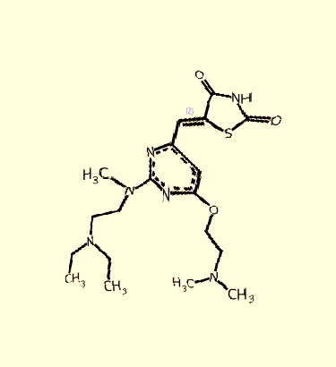 CCN(CC)CCN(C)c1nc(/C=C2\SC(=O)NC2=O)cc(OCCN(C)C)n1